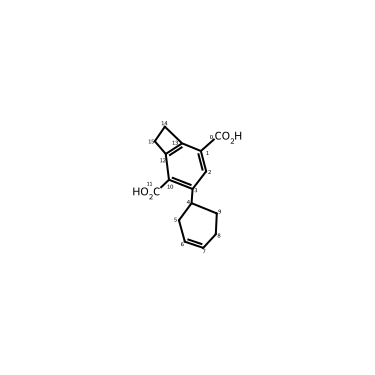 O=C(O)c1cc(C2CC=CCC2)c(C(=O)O)c2c1CC2